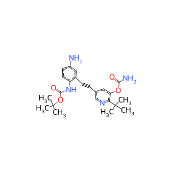 CC(C)(C)OC(=O)Nc1ccc(N)cc1C#Cc1cnc(C(C)(C)C)c(OC(N)=O)c1